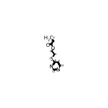 C=CC(=O)OCCSc1ccncn1